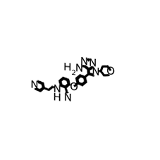 N#Cc1c(NCCc2ccncc2)cccc1Oc1ccc(-c2cn(C3CCOCC3)c3ncnc(N)c23)cc1